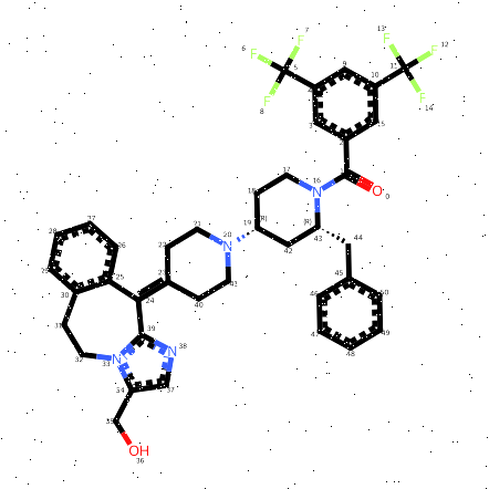 O=C(c1cc(C(F)(F)F)cc(C(F)(F)F)c1)N1CC[C@@H](N2CCC(=C3c4ccccc4CCn4c(CO)cnc43)CC2)C[C@H]1Cc1ccccc1